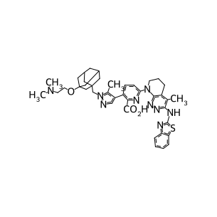 Cc1c(Nc2nc3ccccc3s2)nnc2c1CCCN2c1ccc(-c2cnn(CC34CC5CC(C3)CC(OCCN(C)C)(C5)C4)c2C)c(C(=O)O)n1